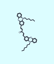 CCCCCCN1c2ccccc2Sc2cc(C=CC(=O)C=Cc3ccc4c(c3)Sc3ccccc3N4CCCCCC)ccc21